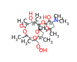 CC[C@H]1OC(=O)[C@H](C)[C@@H](O)[C@H](C)[C@@H](O[C@@H]2O[C@H](C)C[C@H](N(C)C)[C@H]2O)[C@@]2(C)C[C@@H](C)C3(OC1(C)C=C3COO)O2